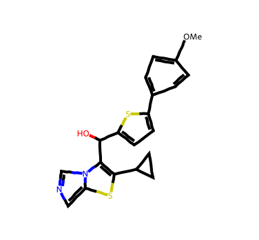 COc1ccc(-c2ccc(C(O)c3c(C4CC4)sc4cncn34)s2)cc1